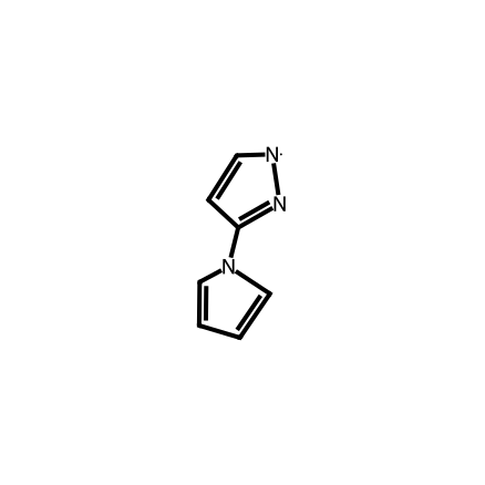 C1=CC(n2cccc2)=N[N]1